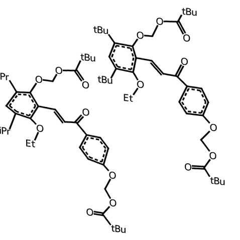 CCOc1c(C(C)(C)C)cc(C(C)(C)C)c(OCOC(=O)C(C)(C)C)c1/C=C/C(=O)c1ccc(OCOC(=O)C(C)(C)C)cc1.CCOc1c(C(C)C)cc(C(C)C)c(OCOC(=O)C(C)(C)C)c1/C=C/C(=O)c1ccc(OCOC(=O)C(C)(C)C)cc1